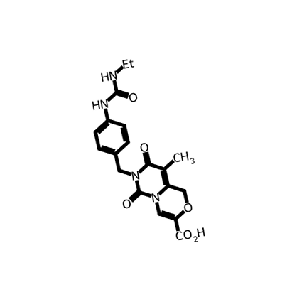 CCNC(=O)Nc1ccc(Cn2c(=O)c(C)c3n(c2=O)C=C(C(=O)O)OC3)cc1